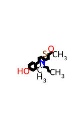 CCCCn1c(-c2ccc(O)cc2C)cc2sc(C(C)=O)cc21